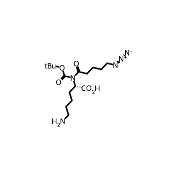 CC(C)(C)OC(=O)N(C(=O)CCCCN=[N+]=[N-])[C@@H](CCCCN)C(=O)O